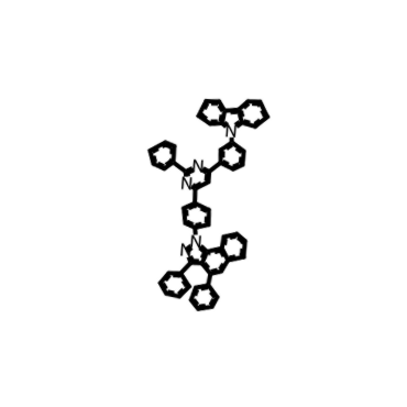 c1ccc(-c2nc(-c3ccc(-n4nc(-c5ccccc5)c5c(-c6ccccc6)cc6ccccc6c54)cc3)cc(-c3cccc(-n4c5ccccc5c5ccccc54)c3)n2)cc1